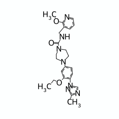 CCOc1cc(N2CCN(C(=O)NCc3cccnc3OC)CC2)ccc1-n1cnc(C)n1